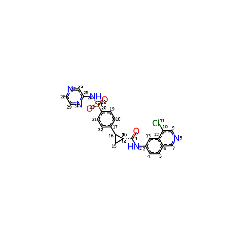 O=C(Nc1ccc2cncc(Cl)c2c1)[C@@H]1CC1c1ccc(S(=O)(=O)Nc2cnccn2)cc1